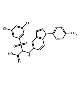 Cc1ccc(-n2ccc3cc(NC(C(=O)O)S(=O)(=O)c4cc(Cl)cc(Cl)c4)ccc32)nn1